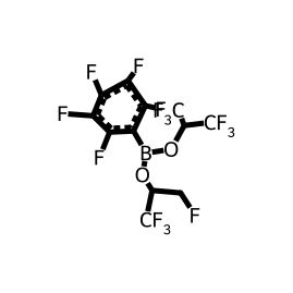 FCC(OB(OC(C(F)(F)F)C(F)(F)F)c1c(F)c(F)c(F)c(F)c1F)C(F)(F)F